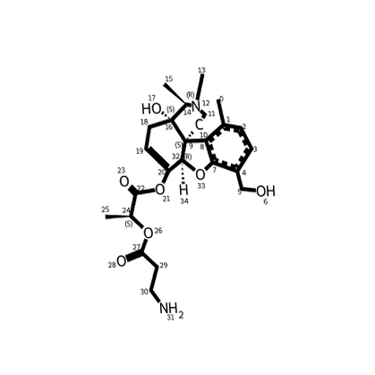 Cc1ccc(CO)c2c1[C@]13CCN(C)[C@H](C)[C@]1(O)CC=C(OC(=O)[C@H](C)OC(=O)CCN)[C@@H]3O2